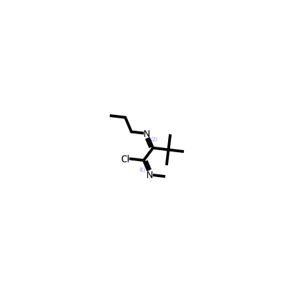 CCC/N=C(\C(Cl)=N/C)C(C)(C)C